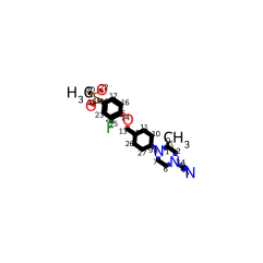 C[C@H]1CN(C#N)CCN1C1CCC(COc2ccc(S(C)(=O)=O)cc2F)CC1